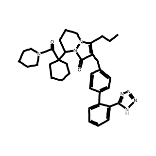 CCCc1c(Cc2ccc(-c3ccccc3-c3nnn[nH]3)cc2)c(=O)n2n1CCCC2C1(C(=O)N2CCCCC2)CCCCC1